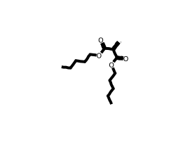 [CH]=C(C(=O)OCCCCC)C(=O)OCCCCC